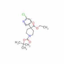 CCOC(=O)C1(c2ccc(Cl)nc2)CCN(C(=O)OC(C)(C)C)CC1